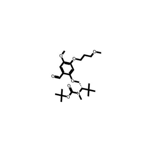 COCCCOc1cc(OC[C@@H](N(C)C(=O)OC(C)(C)C)C(C)(C)C)c(C=O)cc1OC